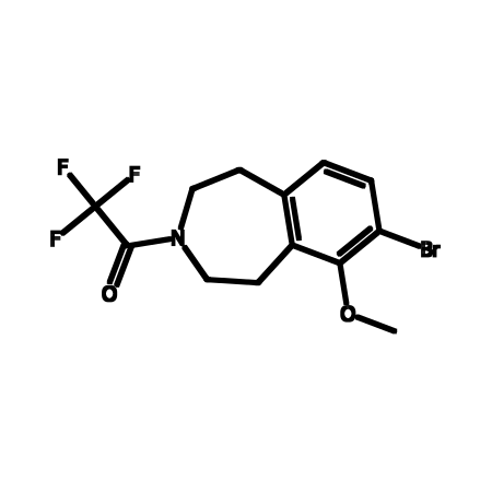 COc1c(Br)ccc2c1CCN(C(=O)C(F)(F)F)CC2